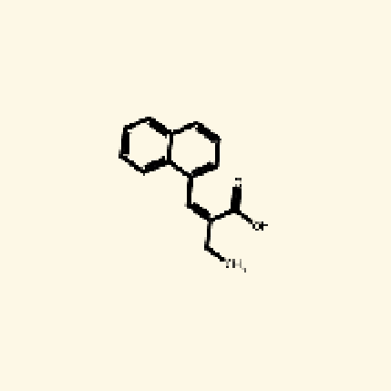 CCC(=Cc1cccc2ccccc12)C(=O)O